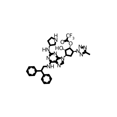 Cc1nnn([C@H]2C[C@@H](n3cnc4c(NCC(c5ccccc5)c5ccccc5)nc(N[C@H]5CCNC5)nc43)[C@H](O)[C@@H]2OC(=O)C(F)(F)F)n1